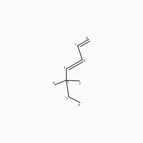 [CH2]CC(C)(C)C=CC=C